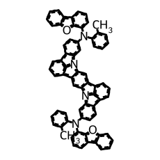 Cc1ccccc1N(c1ccc2c3cccc4c5cc6c(cc5n(c2c1)c34)c1cccc2c3ccc(N(c4ccccc4C)c4cccc5c4oc4ccccc45)cc3n6c21)c1cccc2c1oc1ccccc12